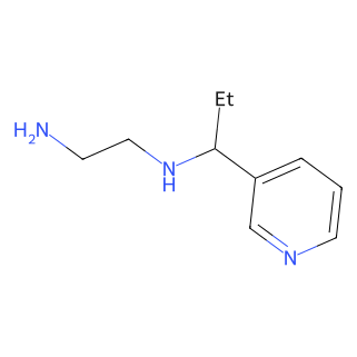 CCC(NCCN)c1cccnc1